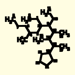 BCC(CC(C)CCC)C(CC)C(C)C(C)C(C)C1CCCC1